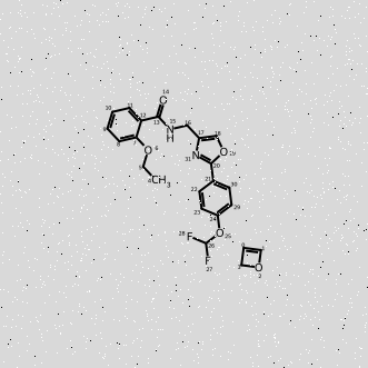 C1=COC1.CCOc1ccccc1C(=O)NCc1coc(-c2ccc(OC(F)F)cc2)n1